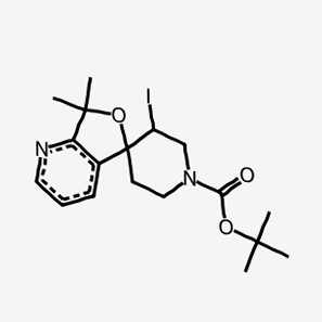 CC(C)(C)OC(=O)N1CCC2(OC(C)(C)c3ncccc32)C(I)C1